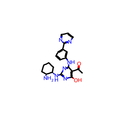 CC(=O)c1c(O)nc(N[C@@H]2CCCC[C@@H]2N)nc1Nc1cccc(-c2ncccn2)c1